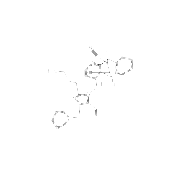 CCCCc1nc(Sc2ccccc2)c(C=O)n1Cc1cccc2c1[C@H]1c3ccccc3[C@H]2[C@@H](C#N)[C@@H]1C#N